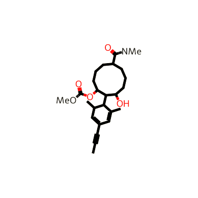 CC#CC1=CC(C)C(C2C(O)CCCC(C(=O)NC)CCCC2OC(=O)OC)C(C)=C1